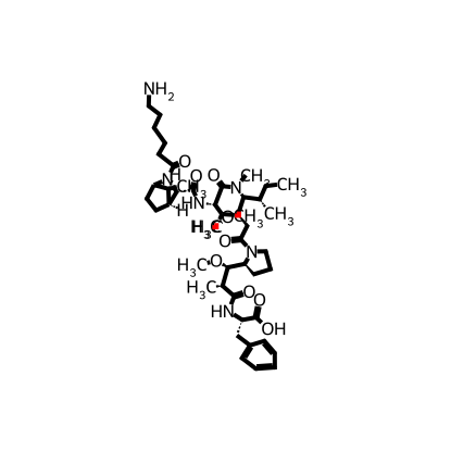 CC[C@H](C)[C@@H]([C@@H](CC(=O)N1CCC[C@H]1[C@H](OC)[C@@H](C)C(=O)N[C@@H](Cc1ccccc1)C(=O)O)OC)N(C)C(=O)[C@@H](NC(=O)[C@@H]1[C@H]2CCC([C@H]2C)N1C(=O)CCCCCN)C(C)C